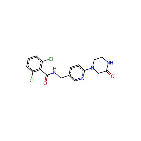 O=C1CN(c2ccc(CNC(=O)c3c(Cl)cccc3Cl)cn2)CCN1